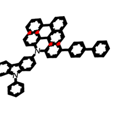 c1ccc(-c2ccc(-c3ccc(N(c4ccc5c(c4)c4ccccc4n5-c4ccccc4)c4ccccc4-c4cccc5cccc(-c6ccccc6)c45)cc3)cc2)cc1